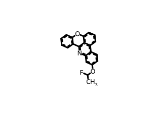 CC(F)Oc1ccc2c(c1)nc1c3c(cccc32)Oc2ccccc2-1